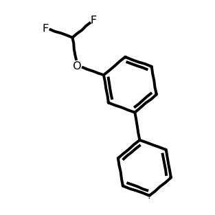 FC(F)Oc1cccc(-c2cc[c]cc2)c1